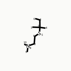 CCC(C)(C)SCCN(C)C